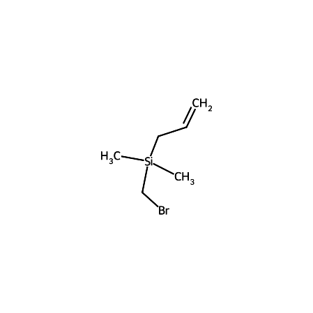 C=CC[Si](C)(C)CBr